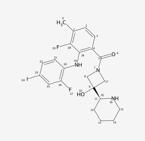 Cc1ccc(C(=O)N2CC(O)([C@@H]3CCCCN3)C2)c(Nc2ccc(I)cc2F)c1F